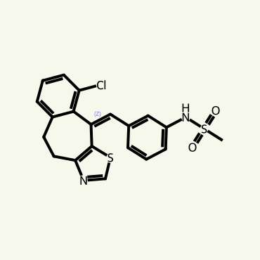 CS(=O)(=O)Nc1cccc(/C=C2\c3scnc3CCc3cccc(Cl)c32)c1